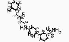 NS(=O)(=O)c1cccc(-c2ccc(NCC[C@H](F)Cc3ncccc3F)nn2)c1